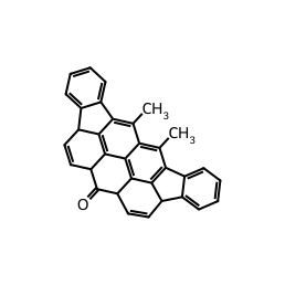 Cc1c2c3c4c5c6c7c(c(C)c15)-c1ccccc1C7C=CC6C(=O)C4C=CC3c1ccccc1-2